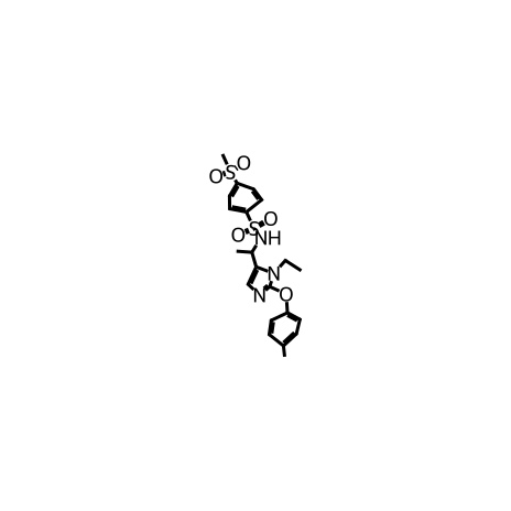 CCn1c(C(C)NS(=O)(=O)c2ccc(S(C)(=O)=O)cc2)cnc1Oc1ccc(C)cc1